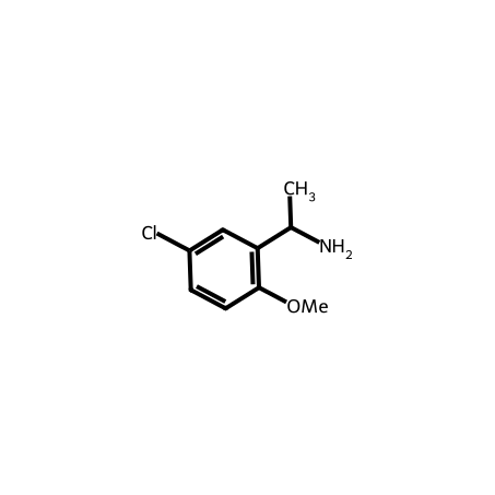 COc1ccc(Cl)cc1C(C)N